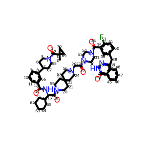 CC1(C(=O)N2CCC(c3cccc(C(=O)N[C@@H](C(=O)N4CCC5(CCN(CC(=O)N6CCN(C(=O)c7cc(Cc8n[nH]c(=O)c9ccccc89)ccc7F)CC6)CC5)CC4)C4CCCCC4)c3)CC2)CC1